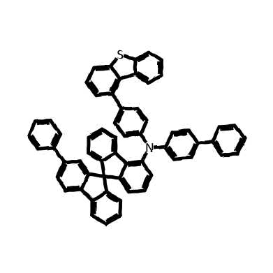 c1ccc(-c2ccc(N(c3ccc(-c4cccc5sc6ccccc6c45)cc3)c3cccc4c3-c3ccccc3C43c4ccccc4-c4ccc(-c5ccccc5)cc43)cc2)cc1